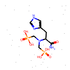 NC(=O)C(Cc1c[nH]cn1)N(CP(=O)(O)O)CP(=O)(O)O